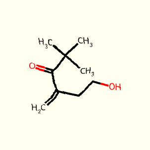 C=C(CCO)C(=O)C(C)(C)C